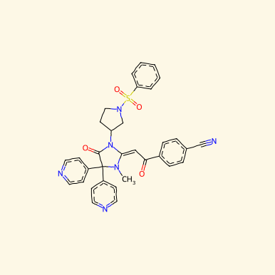 CN1C(=CC(=O)c2ccc(C#N)cc2)N(C2CCN(S(=O)(=O)c3ccccc3)C2)C(=O)C1(c1ccncc1)c1ccncc1